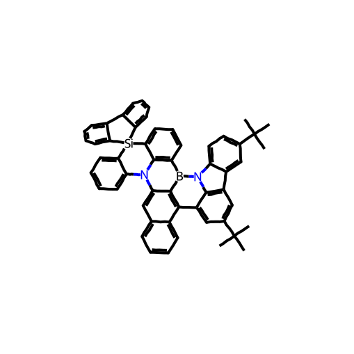 CC(C)(C)c1ccc2c(c1)c1cc(C(C)(C)C)cc3c1n2B1c2cccc4c2N(c2ccccc2[Si]42c4ccccc4-c4ccccc42)c2cc4ccccc4c-3c21